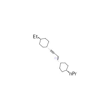 CCC[C@H]1CC[C@H](/C=C/C#C[C@H]2CC[C@H](CC)CC2)CC1